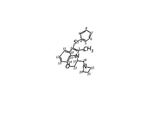 Cc1c(Sc2ccccc2)c2cccc3c2n1C(CN1CCC1)CO3